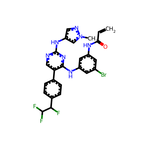 C=CC(=O)Nc1cc(Br)cc(Nc2nc(Nc3cnn(C)c3)ncc2-c2ccc(C(F)C(F)F)cc2)c1